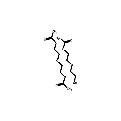 CC(=O)OCCOCCO.CC(=O)OCCOCCOC(C)=O